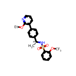 CCOc1ncccc1-c1ccc([C@@H](C)NS(=O)(=O)c2ccccc2OC(F)(F)F)cc1